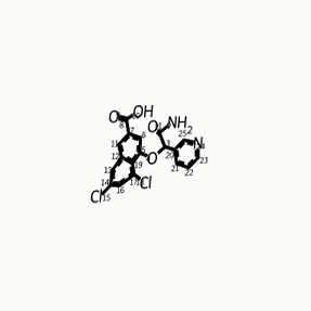 NC(=O)C(Oc1cc(C(=O)O)cc2cc(Cl)cc(Cl)c12)c1cccnc1